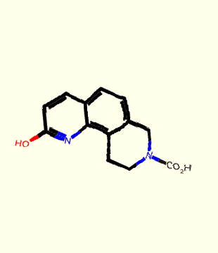 O=C(O)N1CCc2c(ccc3ccc(O)nc23)C1